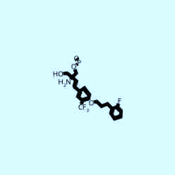 NC(/C=C/c1ccc(OCCCc2ccccc2F)c(C(F)(F)F)c1)(CO)COP=O